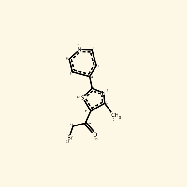 Cc1nc(-c2ccncc2)sc1C(=O)CBr